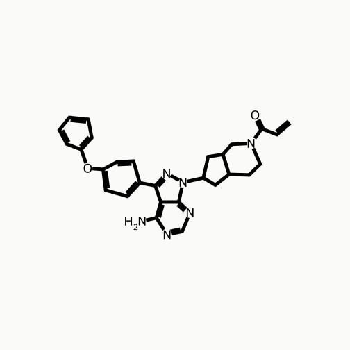 C=CC(=O)N1CCC2CC(n3nc(-c4ccc(Oc5ccccc5)cc4)c4c(N)ncnc43)CC2C1